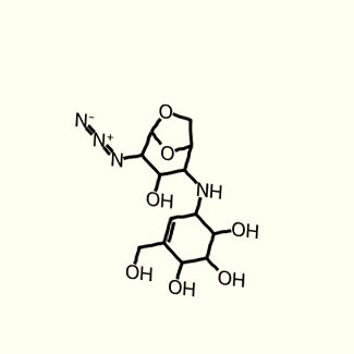 [N-]=[N+]=NC1C2OCC(O2)C(NC2C=C(CO)C(O)C(O)C2O)C1O